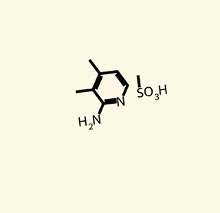 CS(=O)(=O)O.Cc1ccnc(N)c1C